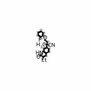 CCc1cc2ccc(C(C)(C#N)CCOc3ccccc3F)cc2[nH]c1=O